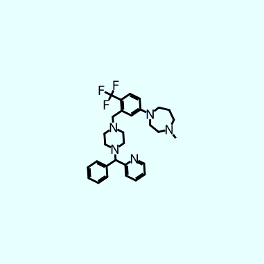 CN1CCCN(c2ccc(C(F)(F)F)c(CN3CCN(C(c4ccccc4)c4ccccn4)CC3)c2)CC1